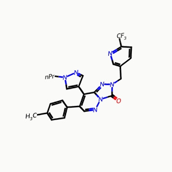 CCCn1cc(-c2c(-c3ccc(C)cc3)cnn3c(=O)n(Cc4ccc(C(F)(F)F)nc4)nc23)cn1